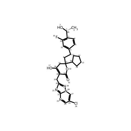 C[C@@H](O)c1ccc(CCC2(C3CCCC3)CC(O)=C(Cc3nc4ncc(Cl)cn4n3)C(=O)O2)cc1F